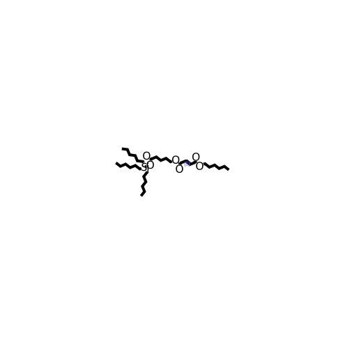 CCCCCCOC(=O)/C=C/C(=O)OCCCCC(=O)O[Si](CCCCCC)(CCCCCC)CCCCCC